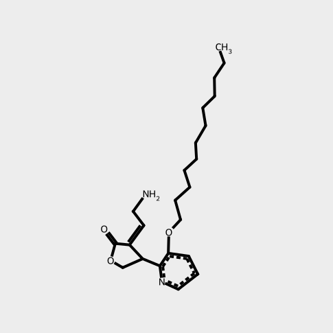 CCCCCCCCCCCCOc1cccnc1C1COC(=O)C1=CCN